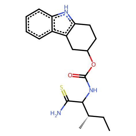 CC[C@H](C)C(NC(=O)OC1CCc2[nH]c3ccccc3c2C1)C(N)=S